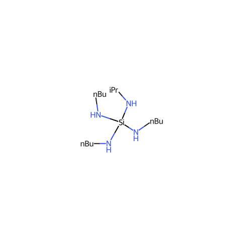 CCCCN[Si](NCCCC)(NCCCC)NC(C)C